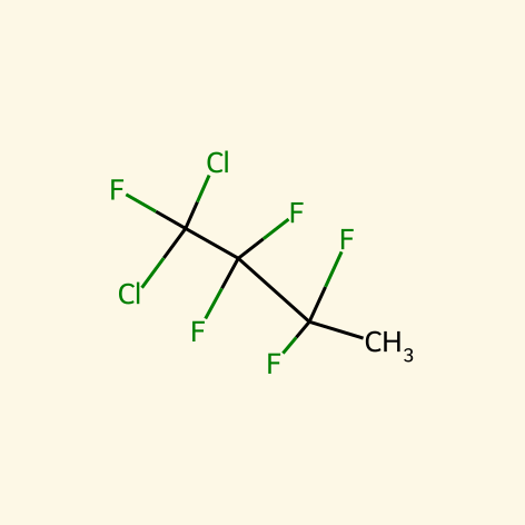 CC(F)(F)C(F)(F)C(F)(Cl)Cl